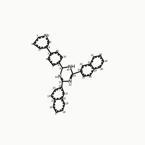 c1cncc(-c2ccc(C3N=C(c4ccc5ccccc5c4)N=C(c4ccc5ccccc5c4)N3)cc2)c1